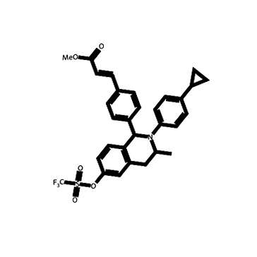 COC(=O)/C=C/c1ccc(C2c3ccc(OS(=O)(=O)C(F)(F)F)cc3CC(C)N2c2ccc(C3CC3)cc2)cc1